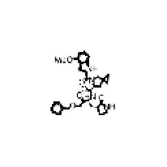 COc1cccc2[nH]c(C(=O)N3CC4(CC4)C[C@H]3C(=O)N[C@@H](C[C@@H]3CCNC3=O)C(=O)COCc3ccccc3)cc12